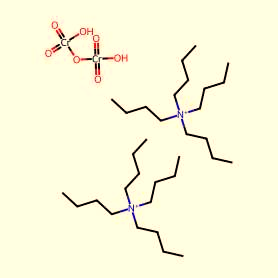 CCCC[N+](CCCC)(CCCC)CCCC.CCCC[N+](CCCC)(CCCC)CCCC.[O]=[Cr](=[O])([OH])[O][Cr](=[O])(=[O])[OH]